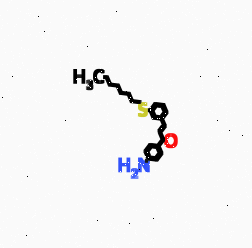 CCCCCCCCSc1cccc(C=CC(=O)c2ccc(N)cc2)c1